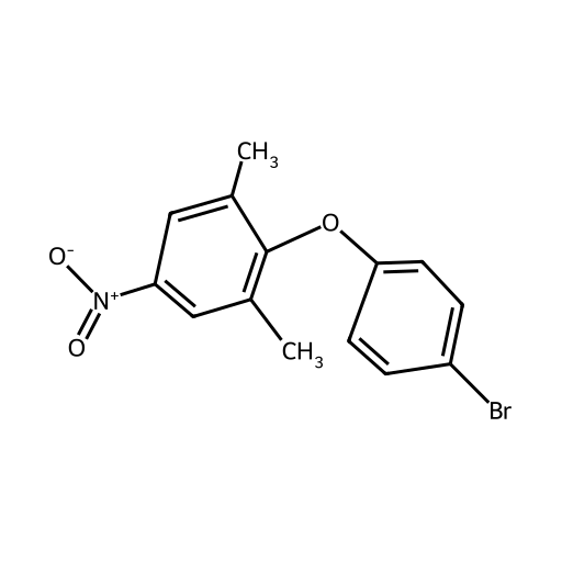 Cc1cc([N+](=O)[O-])cc(C)c1Oc1ccc(Br)cc1